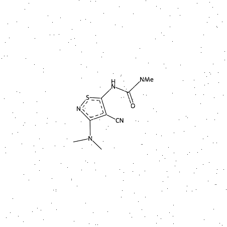 CNC(=O)Nc1snc(N(C)C)c1C#N